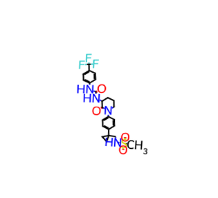 CS(=O)(=O)NCC1(c2ccc(N3CCC[C@H](NC(=O)Nc4ccc(C(F)(F)F)cc4)C3=O)cc2)CC1